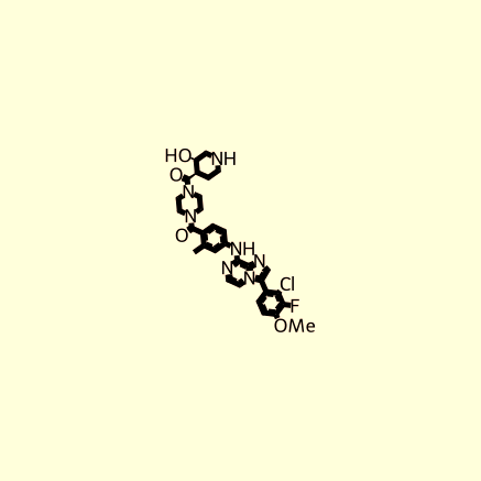 COc1ccc(-c2cnc3c(Nc4ccc(C(=O)N5CCN(C(=O)[C@@H]6CCNC[C@H]6O)CC5)c(C)c4)nccn23)c(Cl)c1F